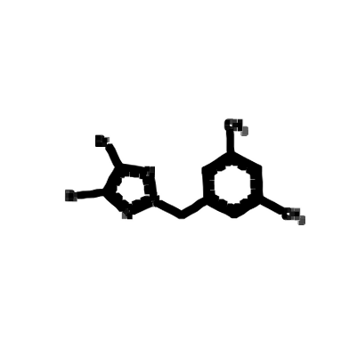 Cc1cc(C)cc(Cn2nc(Br)c(Br)n2)c1